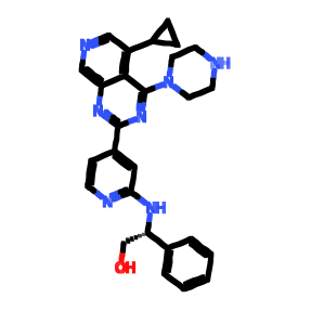 OC[C@H](Nc1cc(-c2nc(N3CCNCC3)c3c(C4CC4)cncc3n2)ccn1)c1ccccc1